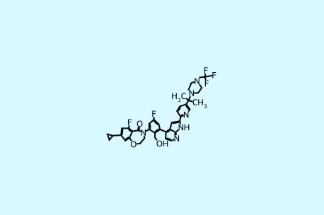 CC(C)(c1ccc(-c2cc3c(-c4cc(F)cc(N5CCOc6cc(C7CC7)cc(F)c6C5=O)c4CO)ccnc3[nH]2)nc1)N1CCN(CC(F)(F)F)CC1